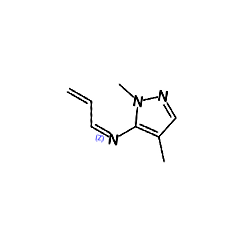 C=C/C=N\c1c(C)cnn1C